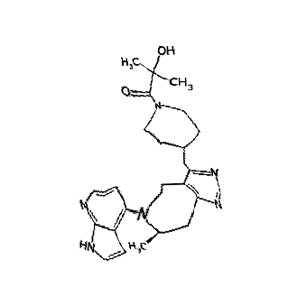 C[C@@H]1Cc2ncnc(C3CCN(C(=O)C(C)(C)O)CC3)c2CN1c1ccnc2[nH]ccc12